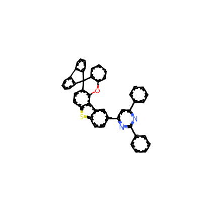 c1ccc(-c2cc(-c3ccc4sc5ccc6c(c5c4c3)Oc3ccccc3C63c4ccccc4-c4ccccc43)nc(-c3ccccc3)n2)cc1